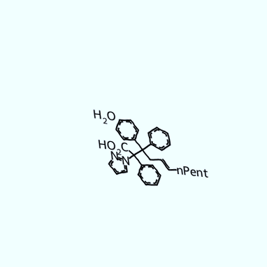 CCCCCC=CCC(c1ccccc1)(c1ccccc1)C(C(=O)O)(c1ccccc1)n1cccn1.O